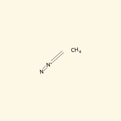 C.C=[N+]=[N-]